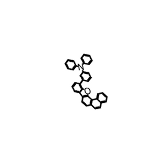 c1ccc(N(c2ccccc2)c2cccc(-c3cccc4c3oc3c4ccc4ccc5ccccc5c43)c2)cc1